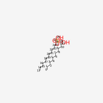 CCCCCCCCCCCCO.CCCCCCCCCCCCOS(=O)(=O)O